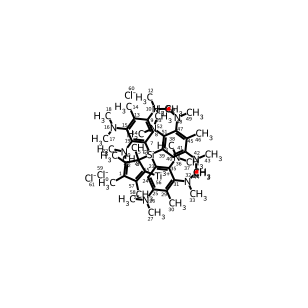 CC1=C(C)C(C)([Si](c2cc(N(C)C)c(C)c(N(C)C)c2N(C)C)(c2cc(N(C)C)c(C)c(N(C)C)c2N(C)C)c2cc(N(C)C)c(C)c(N(C)C)c2N(C)C)[C]([Ti+3])=C1C.[Cl-].[Cl-].[Cl-]